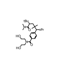 CCCC(c1ccc(C(=O)N(CCO)CCO)cc1)C(C)(C)CC(C(=O)N(C)C)C(C)(C)C